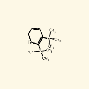 C[Si](C)(C)C1=C([Si](C)(C)C)[Te]CC=C1